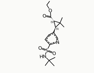 CCOC(=O)[C@H]1[C@H](c2ccc(S(=O)(=O)NC(C)(C)C)nc2)C1(C)C